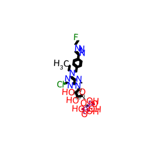 CCCN(Cc1ccc(-c2cn(CCF)nn2)cc1)c1nc(Cl)nc2c1ncn2[C@@H]1O[C@H](COC(P(=O)(O)O)P(=O)(O)O)[C@@H](O)[C@H]1O